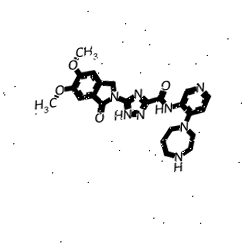 COc1cc2c(cc1OC)C(=O)N(c1nc(C(=O)Nc3cnccc3N3CCCNCC3)n[nH]1)C2